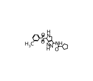 Cc1cccc(S(=O)(=O)C2NCc3c(NC(=O)C4CCCC4)n[nH]c32)c1